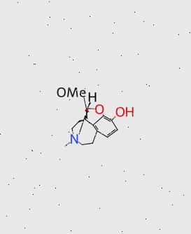 COC1=CCC(C)[C@@]23CCN(C)CCc4ccc(O)c(c42)O[C@@H]13